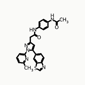 CC(=O)Nc1ccc(NC(=O)Cc2cc(-c3ccc4ncsc4c3)n(-c3cccc(C)n3)n2)cc1